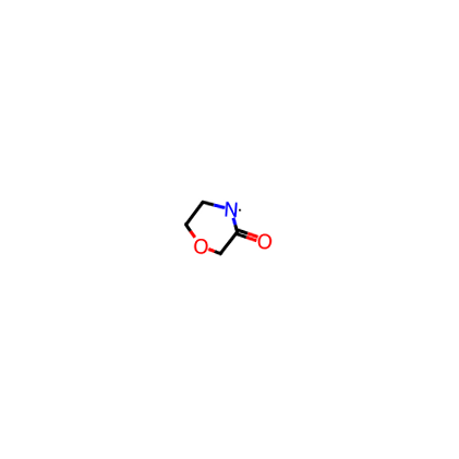 O=C1COCC[N]1